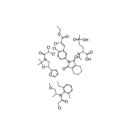 CC1(C)OC(c2ccco2)CN1C(=O)C(Cl)Cl.CCOC(=O)/C(Cl)=C/c1cc(N2C(=O)C3=C(CCCC3)C2=O)ccc1Cl.CCc1cccc(C)c1N(C(=O)CCl)C(C)COC.CP(=O)(O)CCC(N)C(=O)O